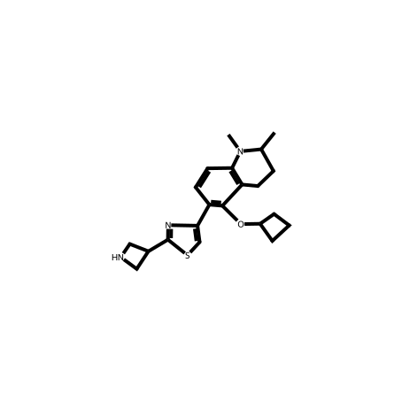 CC1CCc2c(ccc(-c3csc(C4CNC4)n3)c2OC2CCC2)N1C